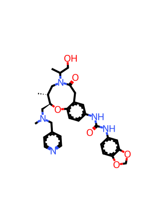 CC(CO)N1C[C@@H](C)[C@H](CN(C)Cc2ccncc2)Oc2ccc(NC(=O)Nc3ccc4c(c3)OCO4)cc2CC1=O